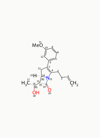 C=CCCC1=C(c2cccc(OC)c2)C[C@@H]2[C@@H]([C@@H](C)O)C(=O)N12